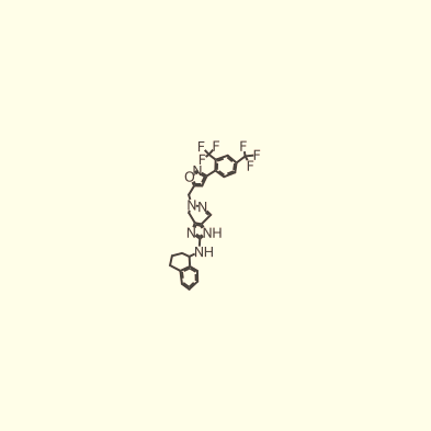 FC(F)(F)c1ccc(-c2cc(CN3Cc4nc(NC5CCCc6ccccc65)[nH]c4C=N3)on2)c(C(F)(F)F)c1